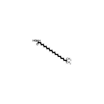 C=C(C)CCCCCCCCCCCCCCCCCCC(=O)NO